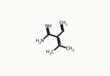 C=CC(C(=N)N)=C(C)C